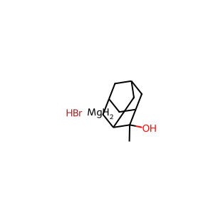 Br.CC1(O)C2CC3CC(C2)CC1C3.[MgH2]